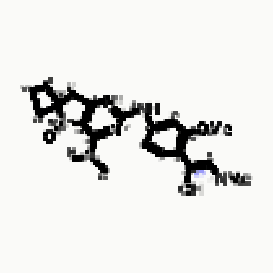 CN/C=C(\O)c1ccc(Nc2nc3c(c(N(C)C)n2)[S+]([O-])C2(CCC2)C3)cc1OC